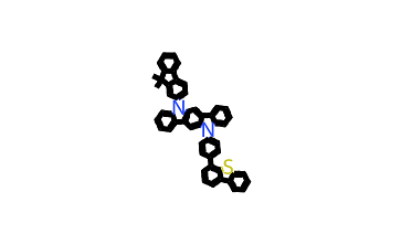 CC1(C)c2ccccc2-c2ccc(-n3c4ccccc4c4cc5c(cc43)c3ccccc3n5-c3ccc(-c4cccc5c4sc4ccccc45)cc3)cc21